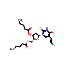 CCCCC(=O)OC[C@H]1O[C@@H](n2cc(C=CBr)c(=O)[nH]c2=O)C[C@@H]1OC(=O)CCCC